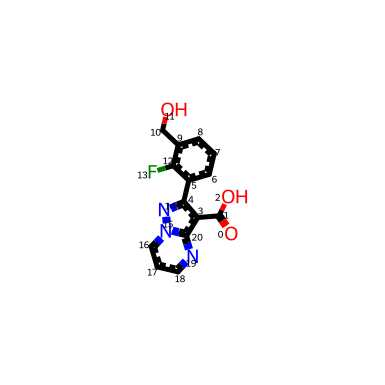 O=C(O)c1c(-c2cccc(CO)c2F)nn2cccnc12